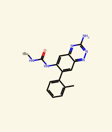 Cc1ccccc1-c1cc2nnc(N)nc2cc1NC(=O)NC(C)(C)C